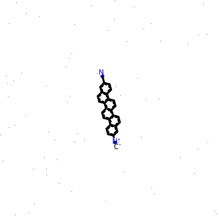 [C-]#[N+]c1ccc2c(ccc3c2ccc2c4ccc5cc(C#N)ccc5c4ccc32)c1